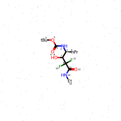 CCC[C@H](NC(=O)OC(C)(C)C)C(O)C(F)(F)C(=O)NCC